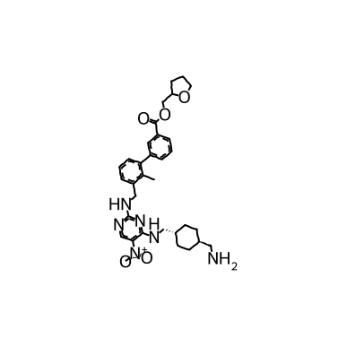 Cc1c(CNc2ncc([N+](=O)[O-])c(NC[C@H]3CC[C@H](CN)CC3)n2)cccc1-c1cccc(C(=O)OCC2CCCO2)c1